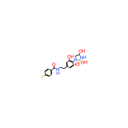 O=C(NCCc1ccc(N2CC(O)NS2(O)O)c(O)c1)c1ccc(F)cc1